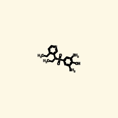 Bc1cc(S(=O)(=O)N(CC)c2cnccc2CC)cc(B)c1O